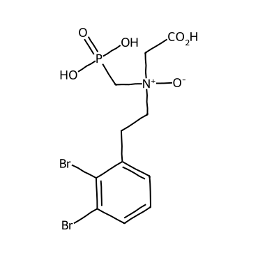 O=C(O)C[N+]([O-])(CCc1cccc(Br)c1Br)CP(=O)(O)O